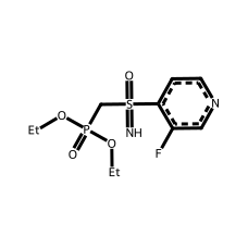 CCOP(=O)(CS(=N)(=O)c1ccncc1F)OCC